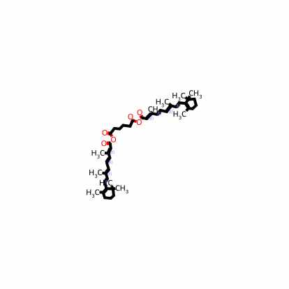 CC1=C(/C=C/C(C)=C/C=C/C(C)=C/C(=O)OC(=O)CCCCC(=O)OC(=O)/C=C(C)/C=C/C=C(C)/C=C/C2=C(C)CCCC2(C)C)C(C)(C)CCC1